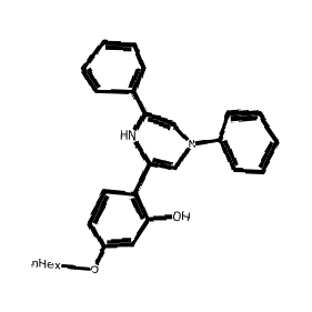 CCCCCCOc1ccc(C2=CN(c3ccccc3)C=C(c3ccccc3)N2)c(O)c1